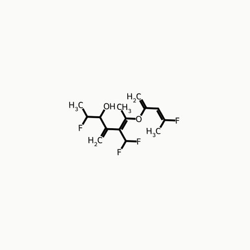 C=C(/C=C(\C)F)O/C(C)=C(/C(=C)C(O)C(C)F)C(F)F